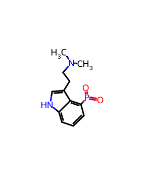 CN(C)CCc1c[nH]c2cccc(P(=O)=O)c12